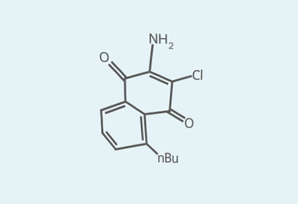 CCCCc1cccc2c1C(=O)C(Cl)=C(N)C2=O